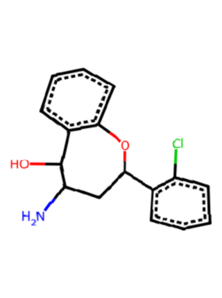 NC1CC(c2ccccc2Cl)Oc2ccccc2C1O